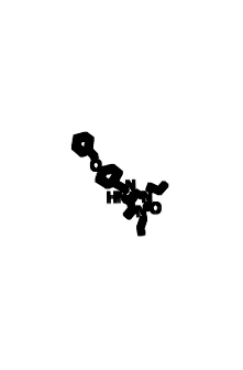 C=C1c2[nH]c(-c3ccc(OCc4ccccc4)cc3)nc2N(CCC)C(=O)N1CCC